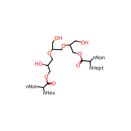 CCCCCCCCCC(CCCCCC)C(=O)OCC(O)COC(CO)COC(CO)COC(=O)C(CCCCCCC)CCCCCCCCC